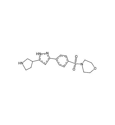 O=S(=O)(c1ccc(-c2cc(C3CCNC3)[nH]n2)cc1)N1CCOCC1